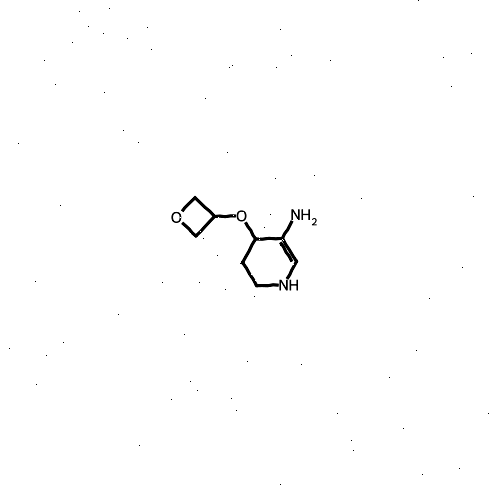 NC1=CNCCC1OC1COC1